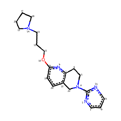 c1cnc(N2CCc3nc(OCCCN4CCCC4)ccc3C2)nc1